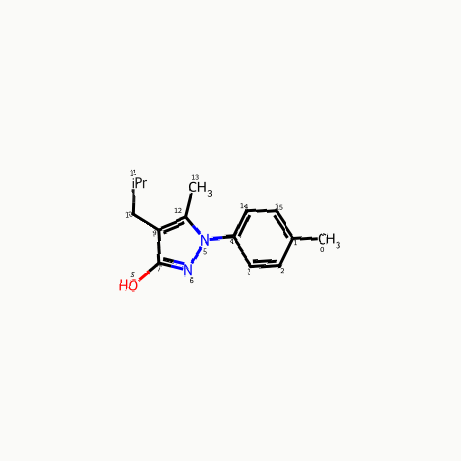 Cc1ccc(-n2nc(O)c(CC(C)C)c2C)cc1